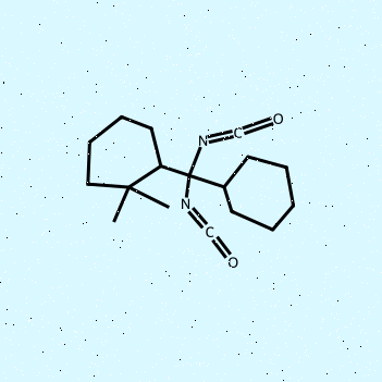 CC1(C)CCCCC1C(N=C=O)(N=C=O)C1CCCCC1